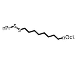 CCCCCCCCCCCCCCCCSSCCC